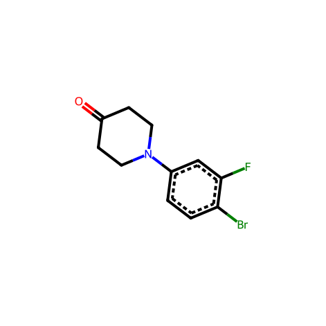 O=C1CCN(c2ccc(Br)c(F)c2)CC1